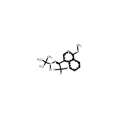 COc1ncc(/C(=N/[S+]([O-])C(C)(C)C)C(F)(F)F)c2ccccc12